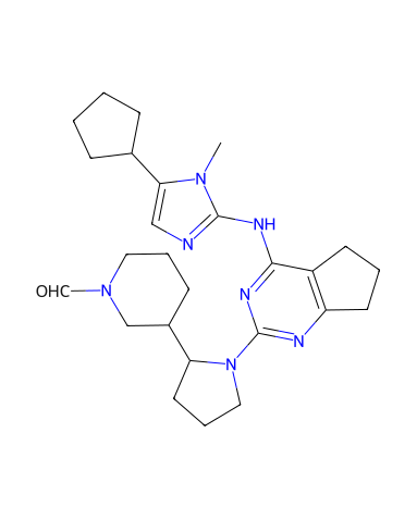 Cn1c(C2CCCC2)cnc1Nc1nc(N2CCCC2C2CCCN(C=O)C2)nc2c1CCC2